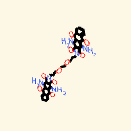 Nc1c2c(=O)c3ccccc3c(=O)c2c(N)c2c(=O)n(CCCOCCOCCCn3c(=O)c4c(N)c5c(=O)c6ccccc6c(=O)c5c(N)c4c3=O)c(=O)c12